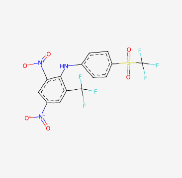 O=[N+]([O-])c1cc([N+](=O)[O-])c(Nc2ccc(S(=O)(=O)C(F)(F)F)cc2)c(C(F)(F)F)c1